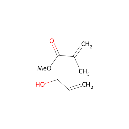 C=C(C)C(=O)OC.C=CCO